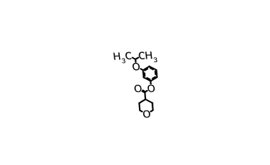 CC(C)Oc1cccc(OC(=O)C2CCOCC2)c1